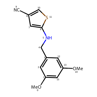 COc1cc(CNc2cc(C#N)cs2)cc(OC)c1